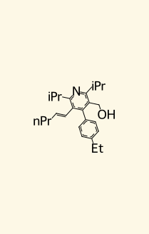 CCC/C=C/c1c(C(C)C)nc(C(C)C)c(CO)c1-c1ccc(CC)cc1